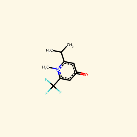 CC(C)c1cc(=O)cc(C(F)(F)F)n1C